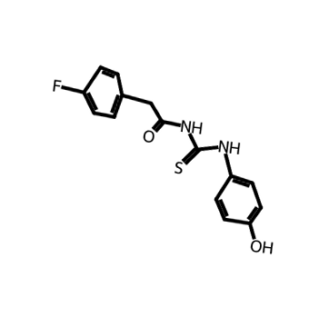 O=C(Cc1ccc(F)cc1)NC(=S)Nc1ccc(O)cc1